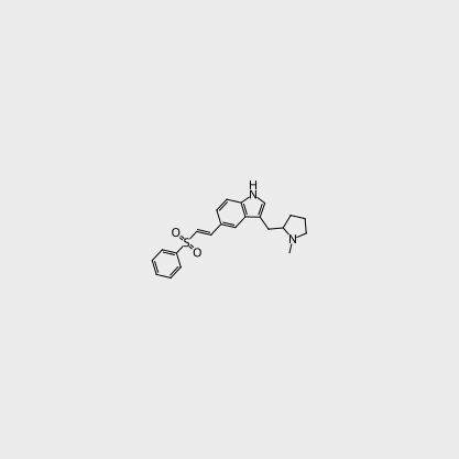 CN1CCCC1Cc1c[nH]c2ccc(C=CS(=O)(=O)c3ccccc3)cc12